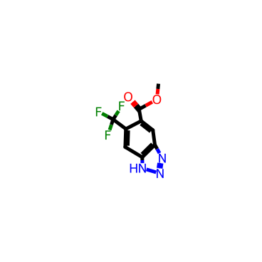 COC(=O)c1cc2nn[nH]c2cc1C(F)(F)F